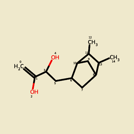 C=C(O)C(O)CC1CC2CC1C(C)C2C